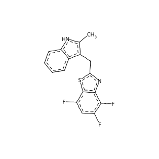 Cc1[nH]c2ccccc2c1Cc1nc2c(F)c(F)cc(F)c2s1